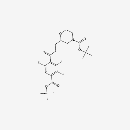 CC(C)(C)OC(=O)c1cc(F)c(C(=O)CCC2CN(C(=O)OC(C)(C)C)CCO2)c(F)c1F